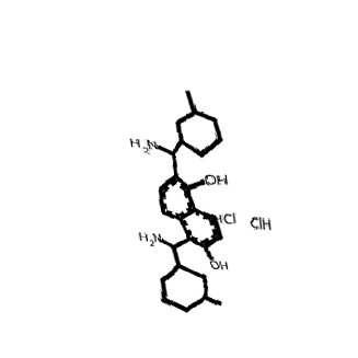 CC1CCCC(C(N)c2ccc3c(C(N)C4CCCC(C)C4)c(O)ccc3c2O)C1.Cl.Cl